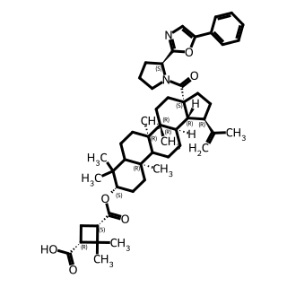 C=C(C)[C@@H]1CC[C@]2(C(=O)N3CCC[C@H]3c3ncc(-c4ccccc4)o3)CC[C@]3(C)[C@H](CCC4[C@@]5(C)CC[C@H](OC(=O)[C@H]6C[C@@H](C(=O)O)C6(C)C)C(C)(C)C5CC[C@]43C)[C@@H]12